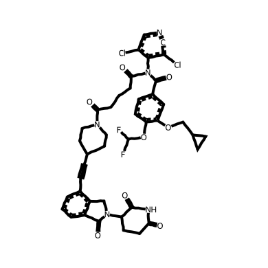 O=C1CCC(N2Cc3c(C#CC4CCN(C(=O)CCCC(=O)N(C(=O)c5ccc(OC(F)F)c(OCC6CC6)c5)c5c(Cl)cncc5Cl)CC4)cccc3C2=O)C(=O)N1